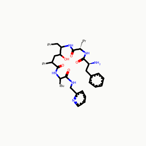 CCC(C)C(NC(=O)C(CC(O)C(CC(C)C)NC(=O)[C@@H](NC(=O)[C@@H](N)Cc1ccccc1)C(C)C)C(C)C)C(=O)NCc1ccccn1